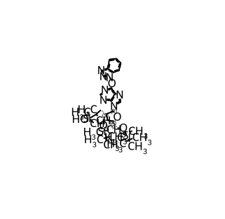 CC(C)(C[C@H]1C(O[Si](C)(C)C(C)(C)C)[C@@H](CO[Si](C)(C)C(C)(C)C)O[C@H]1n1cnc2c(On3nnc4ccccc43)ncnc21)[Si](C)(C)O